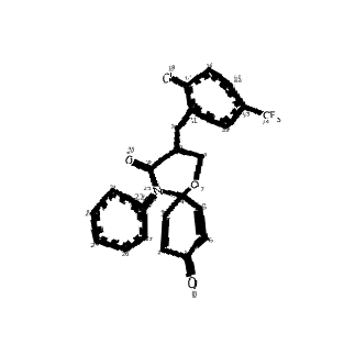 O=C1C=CC2(C=C1)OCC(Cc1cc(C(F)(F)F)ccc1Cl)C(=O)N2c1ccccc1